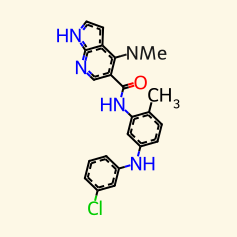 CNc1c(C(=O)Nc2cc(Nc3cccc(Cl)c3)ccc2C)cnc2[nH]ccc12